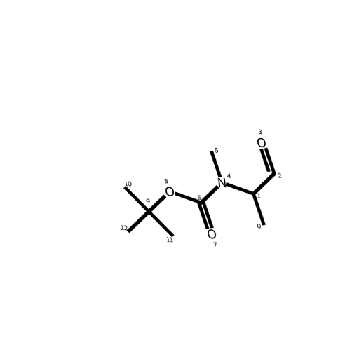 CC(C=O)N(C)C(=O)OC(C)(C)C